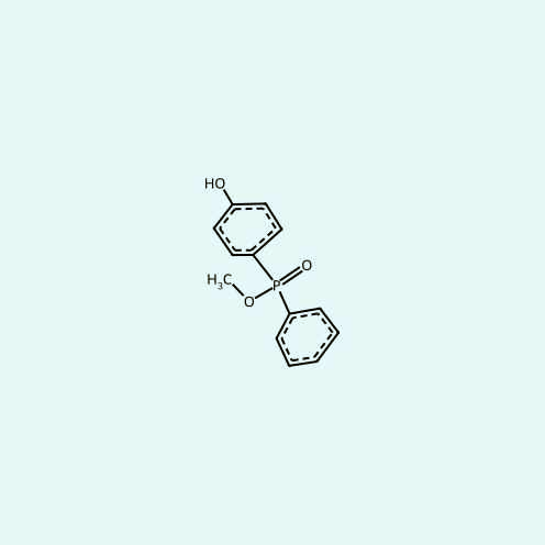 COP(=O)(c1ccccc1)c1ccc(O)cc1